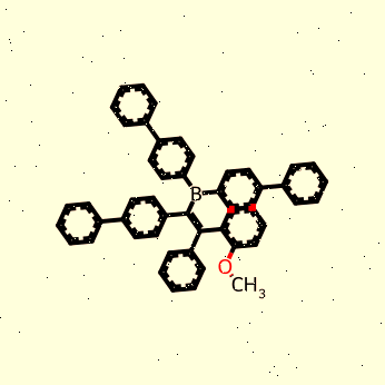 COc1ccccc1/C(=C(\B(c1ccc(-c2ccccc2)cc1)c1ccc(-c2ccccc2)cc1)c1ccc(-c2ccccc2)cc1)c1ccccc1